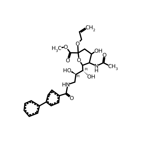 C=CCOC1(C(=O)OC)CC(O)C(NC(C)=O)C([C@H](O)[C@H](O)CNC(=O)c2ccc(-c3ccccc3)cc2)O1